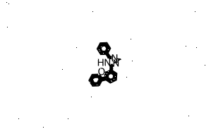 c1ccc(C2NC(c3cccc4c3oc3ccccc34)[N@]3C[N@]23)cc1